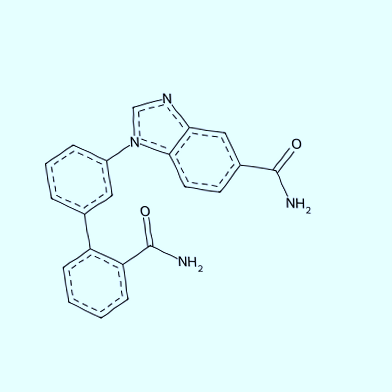 NC(=O)c1ccc2c(c1)ncn2-c1cccc(-c2ccccc2C(N)=O)c1